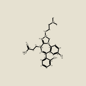 CN(C)CCSN1CN2C(=N1)[C@H](CCC(=O)O)N=C(c1ccccc1Cl)c1cc(Cl)ccc12